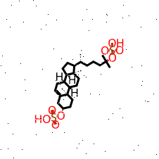 C[C@H](CCCC(C)(C)OS(=O)(=O)O)C1CC[C@@H]2[C@@H]3CC=C4C[C@@H](OS(=O)(=O)O)CC[C@]4(C)[C@H]3CC[C@]12C